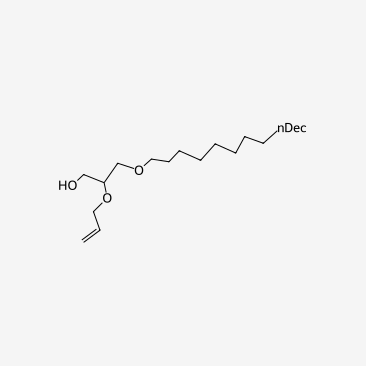 C=CCOC(CO)COCCCCCCCCCCCCCCCCCC